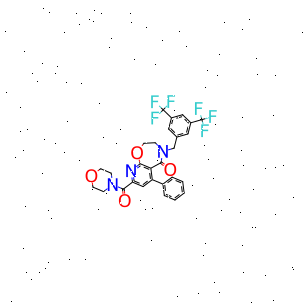 O=C(c1cc(-c2ccccc2)c2c(n1)OCCN(Cc1cc(C(F)(F)F)cc(C(F)(F)F)c1)C2=O)N1CCOCC1